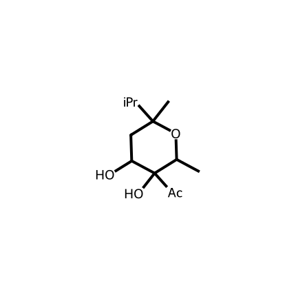 CC(=O)C1(O)C(O)CC(C)(C(C)C)OC1C